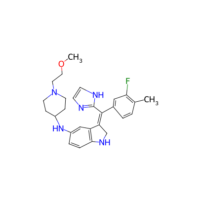 COCCN1CCC(Nc2ccc3c(c2)C(=C(c2ccc(C)c(F)c2)c2ncc[nH]2)CN3)CC1